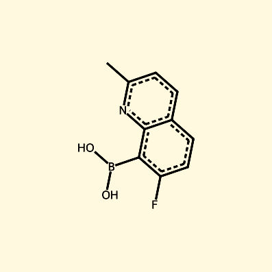 Cc1ccc2ccc(F)c(B(O)O)c2n1